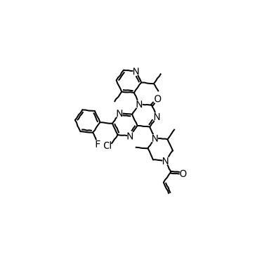 C=CC(=O)N1CC(C)N(c2nc(=O)n(-c3c(C)ccnc3C(C)C)c3nc(-c4ccccc4F)c(Cl)nc23)C(C)C1